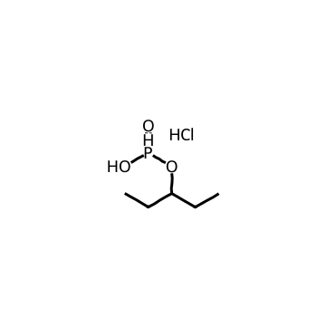 CCC(CC)O[PH](=O)O.Cl